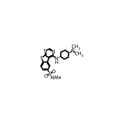 CNS(=O)(=O)c1ccc2sc3ncnc(N[C@H]4CC[C@H](N(C)C)CC4)c3c2c1